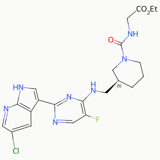 CCOC(=O)CNC(=O)N1CCC[C@@H](CNc2nc(-c3c[nH]c4ncc(Cl)cc34)ncc2F)C1